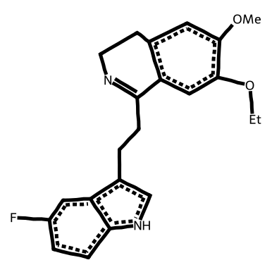 CCOc1cc2c(cc1OC)CCN=C2CCc1c[nH]c2ccc(F)cc12